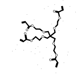 C=CC(=O)OCCOCC(COCCOC(=O)C=C)(COCCOC(=O)C=C)COCCOC(=O)C=C